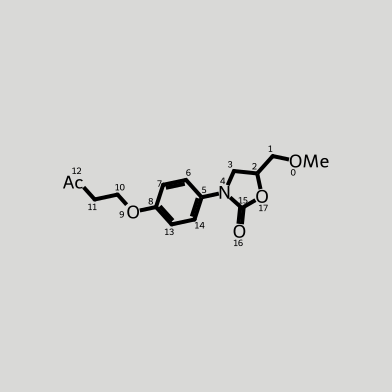 COCC1CN(c2ccc(OCCC(C)=O)cc2)C(=O)O1